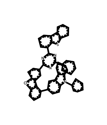 c1ccc(-c2nc(-c3ccc4oc5cccc(-c6ccc7c(c6)c6ccccc6n7-c6ccccc6)c5c4c3)nc(-c3cccc4c3sc3ccccc34)n2)cc1